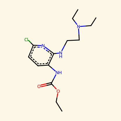 CCOC(=O)Nc1ccc(Cl)nc1NCCN(CC)CC